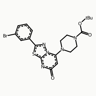 CC(C)(C)OC(=O)N1CCN(c2cc(=O)nc3sc(-c4cccc(Br)c4)nn23)CC1